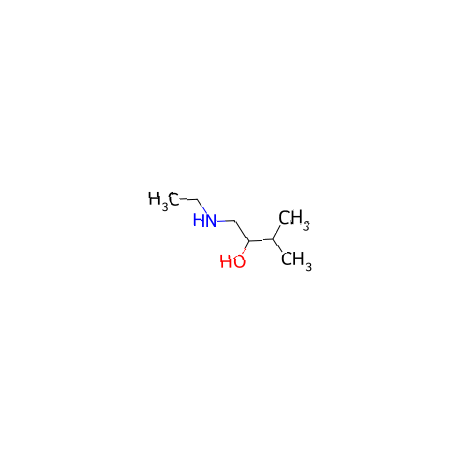 CCNCC(O)C(C)C